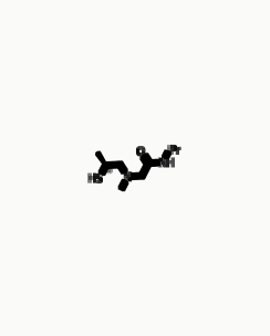 CC(C)NC(=O)CN(C)C[C@H](C)S